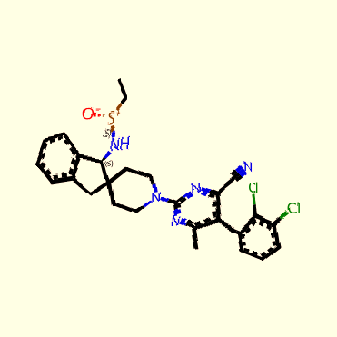 CC[S@@+]([O-])N[C@@H]1c2ccccc2CC12CCN(c1nc(C)c(-c3cccc(Cl)c3Cl)c(C#N)n1)CC2